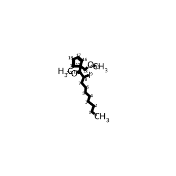 CCCCCCCCC(I)C(=O)C1(COC)C=CC=C1C